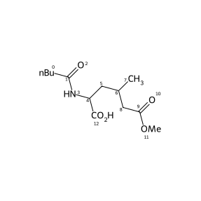 CCCCC(=O)NC(CC(C)CC(=O)OC)C(=O)O